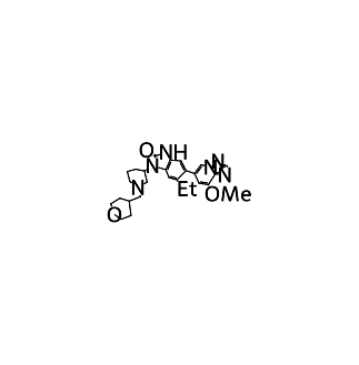 CCc1cc2c(cc1-c1cc(OC)c3ncnn3c1)[nH]c(=O)n2C1CCCN(CC2CCOCC2)C1